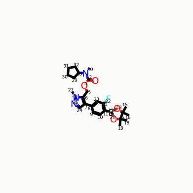 CN(C(=O)OCc1c(-c2ccc(B3OC(C)(C)C(C)(C)O3)c(F)c2)cnn1C)C1CCCC1